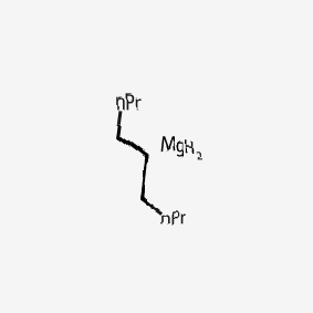 [CH2]CCCCCCCC.[MgH2]